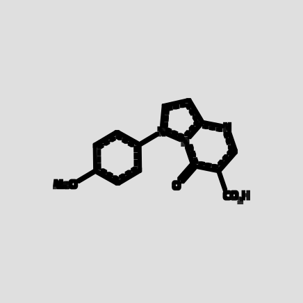 COc1ccc(-n2ccc3ncc(C(=O)O)c(=O)n32)cc1